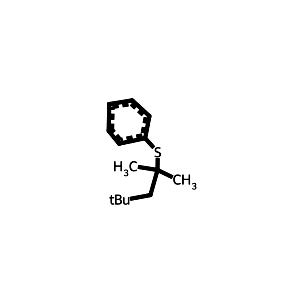 CC(C)(C)CC(C)(C)Sc1ccccc1